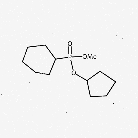 COP(=O)(OC1CCCC1)C1CCCCC1